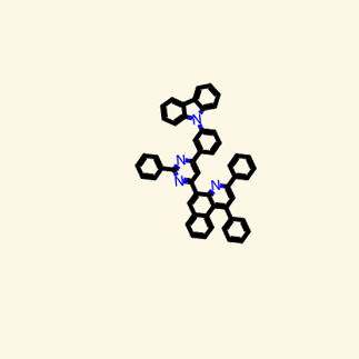 c1ccc(-c2cc(-c3ccccc3)c3c(n2)c(-c2cc(-c4cccc(-n5c6ccccc6c6ccccc65)c4)nc(-c4ccccc4)n2)cc2ccccc23)cc1